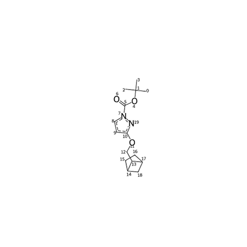 CC(C)(C)OC(=O)n1ccc(OCC2C3CCC2C3)n1